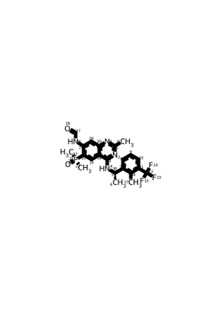 Cc1nc(N[C@H](C)c2cccc(C(F)(F)F)c2C)c2cc(P(C)(C)=O)c(NC=O)cc2n1